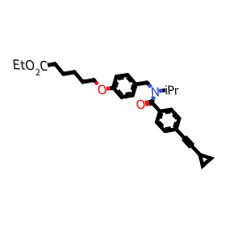 CCOC(=O)CCCCCOc1ccc(CN(C(=O)c2ccc(C#CC3CC3)cc2)C(C)C)cc1